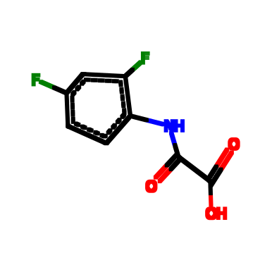 O=C(O)C(=O)Nc1ccc(F)cc1F